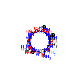 CCCC[C@H]1C(=O)N[C@@H](CC(N)=O)C(=O)N2CCC[C@H]2C(=O)N[C@@H](CO)C(=O)N[C@@H](CCO)C(=O)N2C[C@H](O)CC2C(=O)N[C@@H](Cc2c[nH]c3ccccc23)C(=O)N[C@@H](CO)C(=O)N[C@@H](Cc2c[nH]c3ccccc23)C(=O)N(C)[C@@H](C)C(=O)N(C)[C@@H](C)C(=O)N[C@@H](CCCN)C(=O)NC(C(=O)NCC(N)=O)CSCC(=O)N[C@@H](Cc2ccc(O)cc2)C(=O)N1C